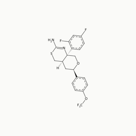 NC1=N[C@@]2(c3ccc(F)cc3F)CO[C@@H](c3ccc(OC(F)(F)F)cc3)C[C@H]2CS1